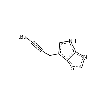 CC(C)(C)C#CCc1c[nH]c2ncsc12